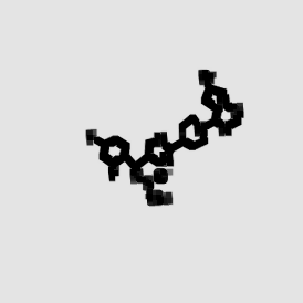 CC(C)(C)[S@+]([O-])/N=C(\c1cnc(C2=CCN(c3ncnn4cc(Br)cc34)CC2)nc1)c1ccc(F)cc1F